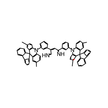 Cc1ccc2c(c1)C1(c3ccccc3-c3ccccc31)c1cc(C)ccc1N2c1cccc(C(=N)/C=C(\C=N)c2cccc(N3c4ccc(C)cc4C4(c5ccccc5-c5ccccc54)c4cc(C)ccc43)c2)c1